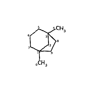 CC12[CH]C(C)(CCC1)CC2